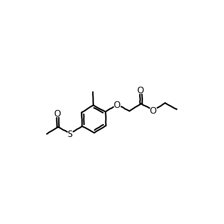 CCOC(=O)COc1ccc(SC(C)=O)cc1C